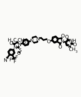 Cn1cc(N2C(=O)c3ccc(OCCCN4CCN(c5ccc(N6C(=S=O)N(c7ccc(C#N)c(C(F)(F)F)c7)C(=O)C6(C)C)cc5)CC4)cc3C2=O)c(=O)[nH]c1=O